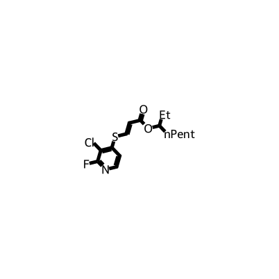 CCCCCC(CC)OC(=O)C=CSc1ccnc(F)c1Cl